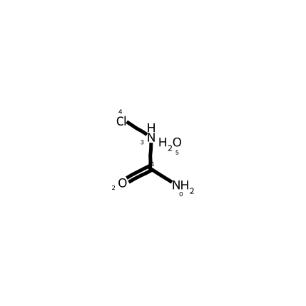 NC(=O)NCl.O